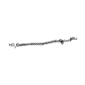 CCCC/C=C\CCCCCCCC(=O)OCCCCCCCCCCCCCCCCCCCCCCCCCCCCCCCCCCCCCCCC(=O)O